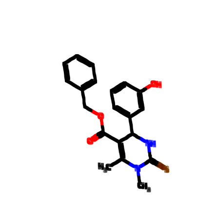 CC1=C(C(=O)OCc2ccccc2)C(c2cccc(O)c2)NC(=S)N1C